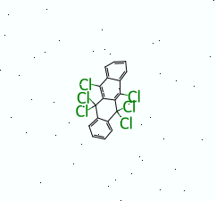 Clc1c2c(c(Cl)c3ccccc13)C(Cl)(Cl)c1ccccc1C2(Cl)Cl